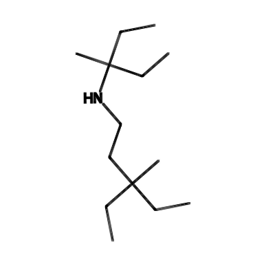 CCC(C)(CC)CCNC(C)(CC)CC